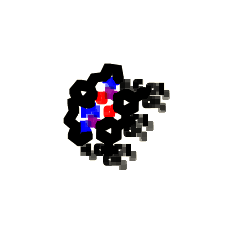 CC(C)(C)c1cc(P2N/C=C\C=C\Cc3cccn32)c2c(c1)C(C)(C)c1cc(C(C)(C)C)cc(P3Oc4ccccc4Cc4cccn43)c1O2